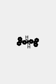 c1ccc2c(c1)c1ccccc1n2-c1ccc2c(c1)[nH]c1c3ccc(-n4c5ccccc5c5ccccc54)cc3[nH]c21